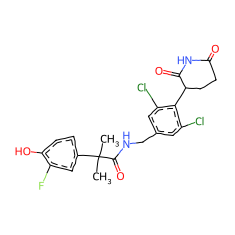 CC(C)(C(=O)NCc1cc(Cl)c(C2CCC(=O)NC2=O)c(Cl)c1)c1ccc(O)c(F)c1